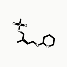 CC(=CCOC1CCCCO1)COS(C)(=O)=O